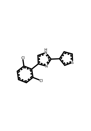 Clc1cccc(Cl)c1-c1c[nH]c(-c2ccsc2)n1